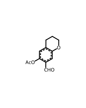 CC(=O)Oc1cc2c(cc1C=O)OCCC2